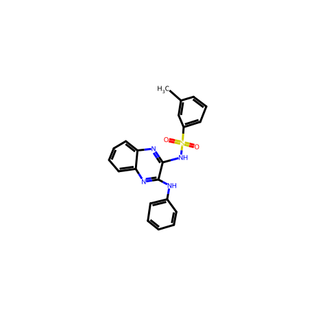 Cc1cccc(S(=O)(=O)Nc2nc3ccccc3nc2Nc2ccccc2)c1